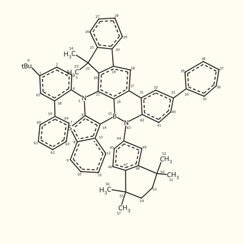 CC(C)(C)c1ccc(N2c3sc4ccccc4c3B3c4c(cc5c(c42)C(C)(C)c2ccccc2-5)-c2cc(-c4ccccc4)ccc2N3c2ccc3c(c2)C(C)(C)CCC3(C)C)c(-c2ccccc2)c1